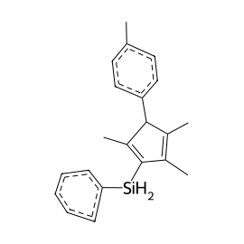 CC1=C(C)C(c2ccc(C)cc2)C(C)=C1[SiH2]c1ccccc1